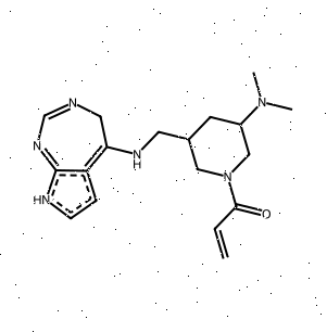 C=CC(=O)N1CC(CNC2=c3cc[nH]c3=NC=NC2)CC(N(C)C)C1